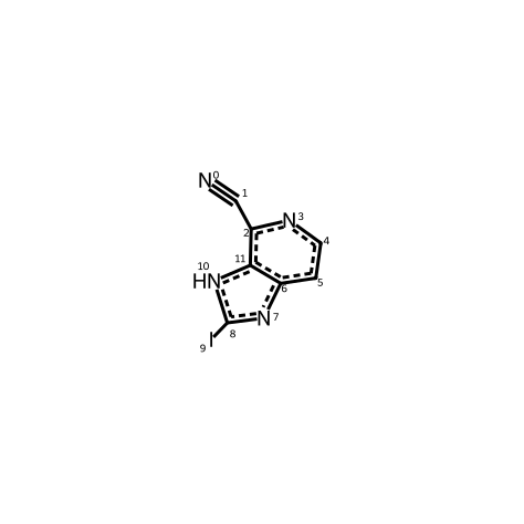 N#Cc1nccc2nc(I)[nH]c12